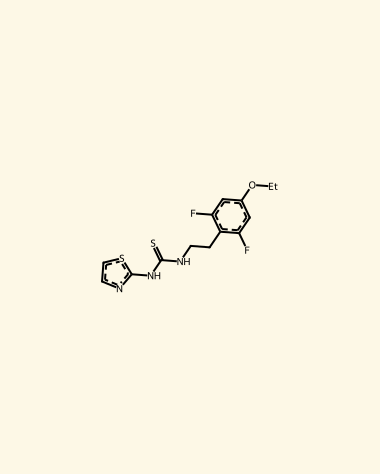 CCOc1cc(F)c(CCNC(=S)Nc2nccs2)c(F)c1